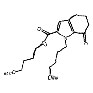 COCCCCOC(=O)c1cc2c(n1CCCCOC)C(=O)CCC2